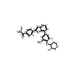 C[C@@H]1COC[C@@H](C)C1Oc1ccc(-c2ccnc3cc(-c4ccc(C(=O)N(C)C)cc4)oc23)cc1C#N